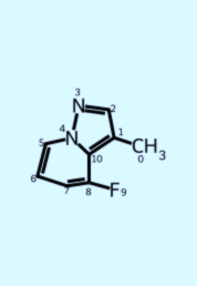 Cc1cnn2cccc(F)c12